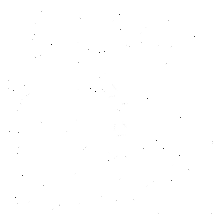 Cc1cc(B2OC(C)(C)C(C)(C)O2)ccc1CNC(=O)c1ccc(C(F)(F)F)nc1